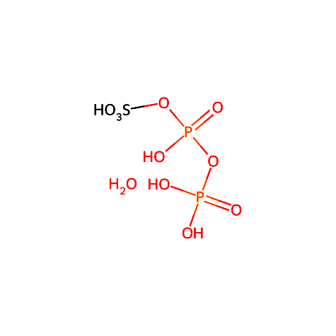 O.O=P(O)(O)OP(=O)(O)OS(=O)(=O)O